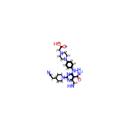 N#CCC1CCN(c2nc(C=N)c(C(N)=O)c(Nc3ccc(N4CCN(CC(=O)O)CC4)cc3)n2)CC1